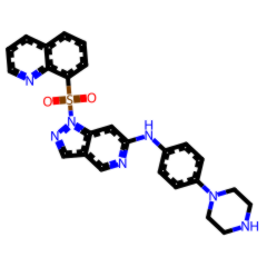 O=S(=O)(c1cccc2cccnc12)n1ncc2cnc(Nc3ccc(N4CCNCC4)cc3)cc21